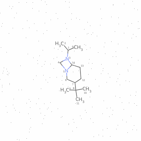 CC(C)N1CN2CC(C(C)(C)C)CCC21